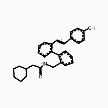 O=C(CC1CCCCC1)NCc1ccccc1-c1ccccc1/C=C/c1ccc(O)cc1